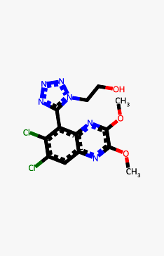 COc1nc2cc(Cl)c(Cl)c(-c3nnnn3CCO)c2nc1OC